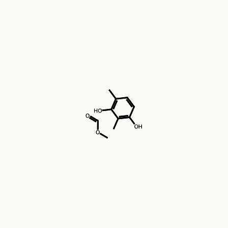 COC=O.Cc1ccc(O)c(C)c1O